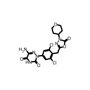 Nc1nn(-c2cc(Cl)c(Cc3nn(C4CCOCC4)c(=O)o3)c(Cl)c2)c(=O)[nH]c1=O